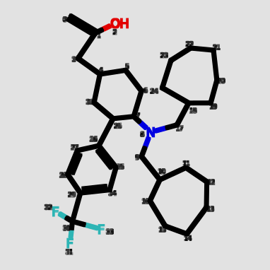 C=C(O)CC1CCC(N(CC2CCCCCC2)CC2CCCCCC2)C(c2ccc(C(F)(F)F)cc2)C1